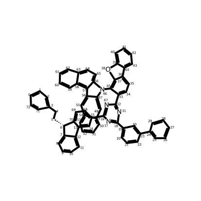 c1ccc(CC[C@H]2c3ccccc3-c3cc(-c4nc(-c5cccc(-c6ccccc6)c5)nc(-c5ccc6c(oc7ccccc76)c5-n5c6cc7ccccc7cc6c6c7ccccc7ccc65)n4)ccc32)cc1